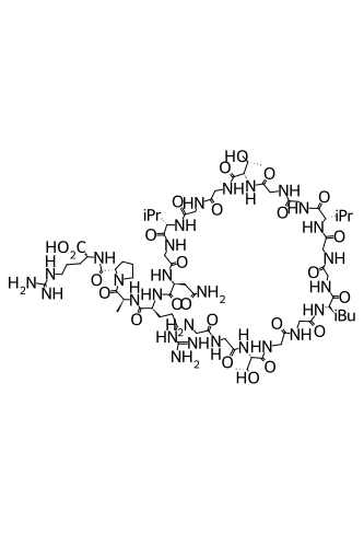 CC[C@H](C)[C@H](NC(=O)CNC(=O)CNC(=O)[C@@H](NC(=O)CNC(=O)CN)[C@@H](C)O)C(=O)NCC(=O)NCC(=O)N[C@H](C(=O)NCC(=O)NCC(=O)N[C@H](C(=O)NCC(=O)NCC(=O)N[C@H](C(=O)NCC(=O)N[C@@H](CC(N)=O)C(=O)N[C@@H](CCCNC(=N)N)C(=O)N[C@@H](C)C(=O)N1CCC[C@H]1C(=O)N[C@@H](CCCNC(=N)N)C(=O)O)C(C)C)[C@@H](C)O)C(C)C